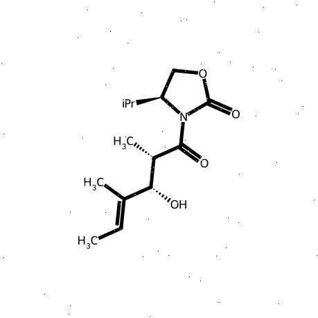 C/C=C(\C)[C@@H](O)[C@H](C)C(=O)N1C(=O)OC[C@@H]1C(C)C